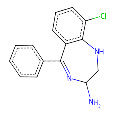 NC1CNc2c(Cl)cccc2C(c2ccccc2)=N1